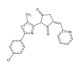 Cc1sc(-c2ccc(Cl)cc2)nc1C1C(=O)C/C(=C/c2ccccn2)C1=O